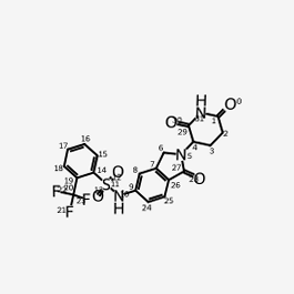 O=C1CCC(N2Cc3cc(NS(=O)(=O)c4ccccc4C(F)(F)F)ccc3C2=O)C(=O)N1